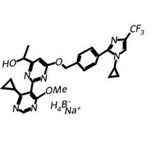 COc1ncnc(C2CC2)c1-c1nc(OCc2ccc(-c3nc(C(F)(F)F)cn3C3CC3)cc2)cc(C(C)O)n1.[BH4-].[Na+]